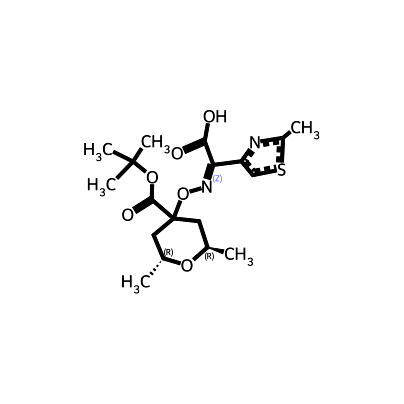 Cc1nc(/C(=N/OC2(C(=O)OC(C)(C)C)C[C@@H](C)O[C@H](C)C2)C(=O)O)cs1